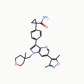 Cc1noc(C)c1-c1cnc2c(-c3ccc(C4(C(N)=O)CC4)cc3)cn(CC3(C)CCOCC3)c2c1